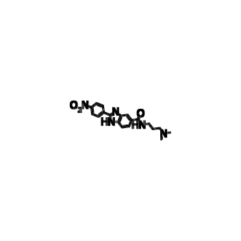 CN(C)CCCNC(=O)c1ccc2[nH]c(-c3ccc([N+](=O)[O-])cc3)nc2c1